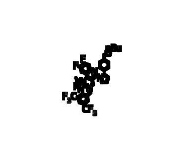 CCCCOCC1CCC([C@H]2CCCN2c2nc3cc(F)c(F)cc3cc2CN(Cc2cc(C(F)(F)F)cc(C(F)(F)F)c2)c2nnn(C)n2)CC1